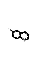 [S]c1ccc2ncccc2c1